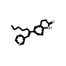 CCCCCC(=Cc1cccnc1)c1ccc2c(c1)CCC(=O)N2